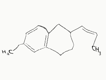 C/C=C\C1CCc2cc(C)ccc2C1